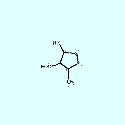 COC1C(C)SSC1C